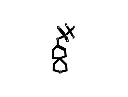 O=S(=O)(OC1=CCC2(CCOCC2)CC1)C(F)(F)F